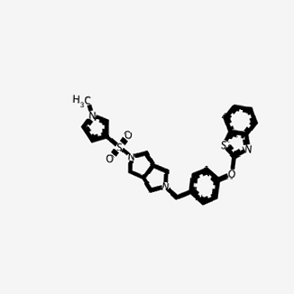 Cn1ccc(S(=O)(=O)N2CC3CN(Cc4ccc(Oc5nc6ccccc6s5)cc4)CC3C2)c1